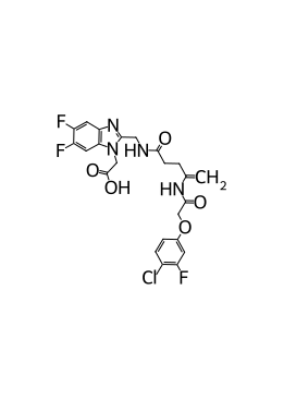 C=C(CCC(=O)NCc1nc2cc(F)c(F)cc2n1CC(=O)O)NC(=O)COc1ccc(Cl)c(F)c1